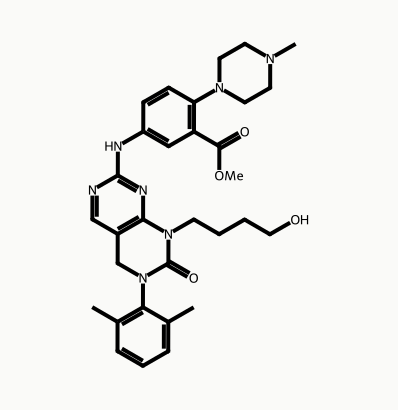 COC(=O)c1cc(Nc2ncc3c(n2)N(CCCCO)C(=O)N(c2c(C)cccc2C)C3)ccc1N1CCN(C)CC1